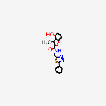 Cc1c(C(=O)NCc2nnc(-c3ccccc3)s2)oc2cccc(O)c12